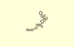 COCCOCCNC(=O)c1ccc2c(c1)CC(=O)N2C(=O)Oc1ccccc1